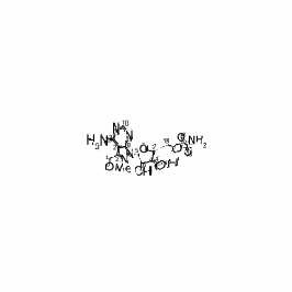 COCc1nn([C@@H]2O[C@H](COS(N)(=O)=O)[C@@H](O)[C@H]2O)c2ncnc(N)c12